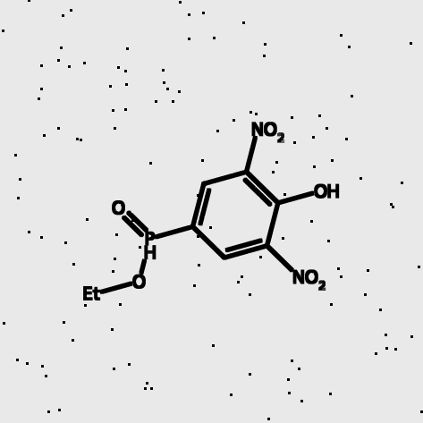 CCO[PH](=O)c1cc([N+](=O)[O-])c(O)c([N+](=O)[O-])c1